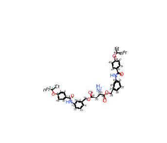 CCCC(CC)Oc1ccc(C(=O)Nc2cccc(COC(=O)C[C@H](N)C(=O)OCc3cccc(NC(=O)c4ccc(OC(CC)CCC)cc4)c3)c2)cc1